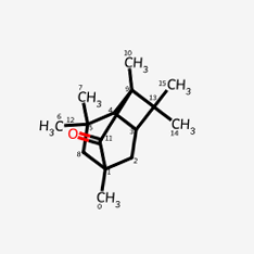 CC12CC3C(C(C)(C)C1)C(C)(C2=O)C3(C)C